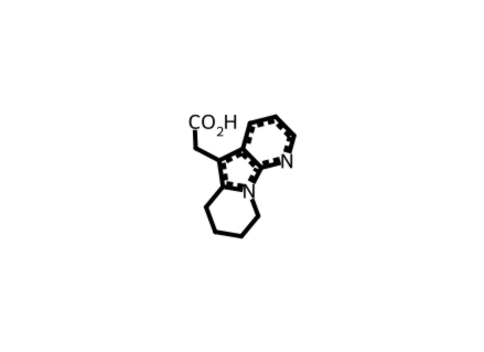 O=C(O)Cc1c2n(c3ncccc13)CCCC2